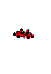 Cc1ccccc1N(c1cccc2c1oc1ccccc12)c1cc2c(c3c1oc1ccccc13)-c1ccc3c(c1C2(C)C)C(C)(C)c1cc(N(c2ccccc2C)c2cccc4c2oc2ccccc24)c2oc4ccccc4c2c1-3